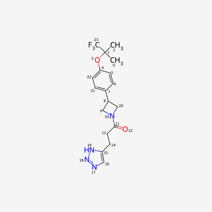 CC(C)(Oc1ccc(C2CN(C(=O)CCc3cnn[nH]3)C2)cc1)C(F)(F)F